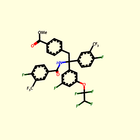 COC(=O)c1ccc(CC(NC(=O)c2ccc(F)c(C(F)(F)F)c2)(c2cc(F)cc(OC(F)(F)C(F)F)c2)c2ccc(F)c(C(F)(F)F)c2)cc1